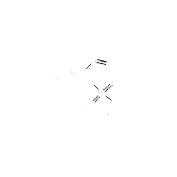 O=N[O-].[Na+].[Na+].[Na+].[O]=[Mo](=[O])([O-])[O-]